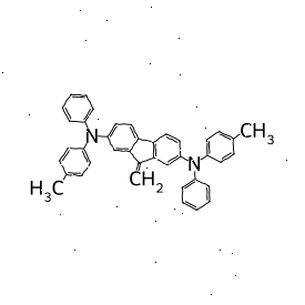 C=C1c2cc(N(c3ccccc3)c3ccc(C)cc3)ccc2-c2ccc(N(c3ccccc3)c3ccc(C)cc3)cc21